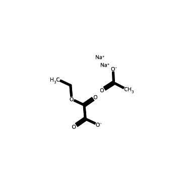 CC(=O)[O-].CCOC(=O)C(=O)[O-].[Na+].[Na+]